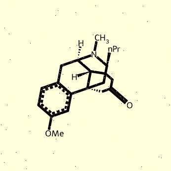 CCC[C@H]1CC(=O)C[C@]23CCN(C)[C@H](Cc4ccc(OC)cc42)[C@H]13